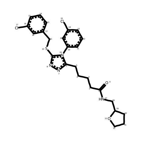 O=C(CCCCc1nnc(SCc2cccc(Cl)c2)n1-c1cccc(Cl)c1)NCC1CCCO1